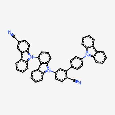 N#Cc1ccc2c(c1)c1ccccc1n2-c1cccc2c1c1ccccc1n2-c1ccc(C#N)c(-c2ccc(-n3c4ccccc4c4ccccc43)cc2)c1